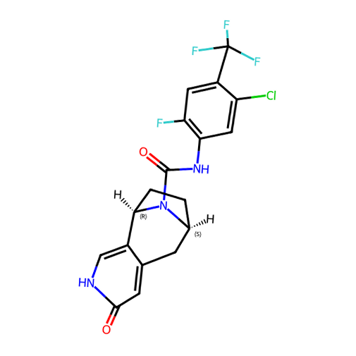 O=C(Nc1cc(Cl)c(C(F)(F)F)cc1F)N1[C@H]2CC[C@@H]1c1c[nH]c(=O)cc1C2